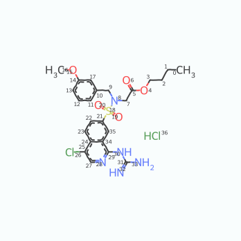 CCCCOC(=O)CN(Cc1cccc(OC)c1)S(=O)(=O)c1ccc2c(Cl)cnc(NC(=N)N)c2c1.Cl